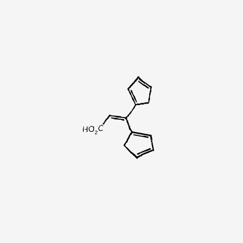 O=C(O)C=C(C1=CC=CC1)C1=CC=CC1